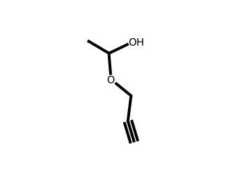 C#CCOC(C)O